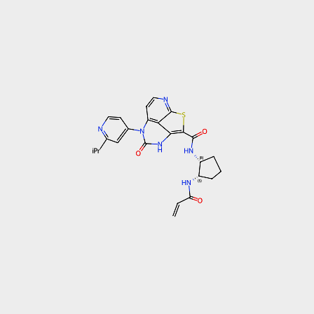 C=CC(=O)N[C@H]1CCC[C@H]1NC(=O)c1sc2nccc3c2c1NC(=O)N3c1ccnc(C(C)C)c1